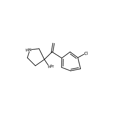 C=C(c1cccc(Cl)c1)C1(CCC)CCNC1